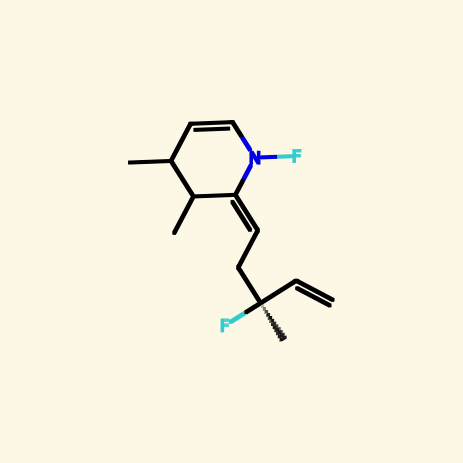 C=C[C@@](C)(F)C/C=C1\C(C)C(C)C=CN1F